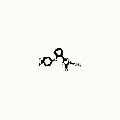 Nn1nc(-c2ccccc2OC2CCC(F)(F)CC2)oc1=O